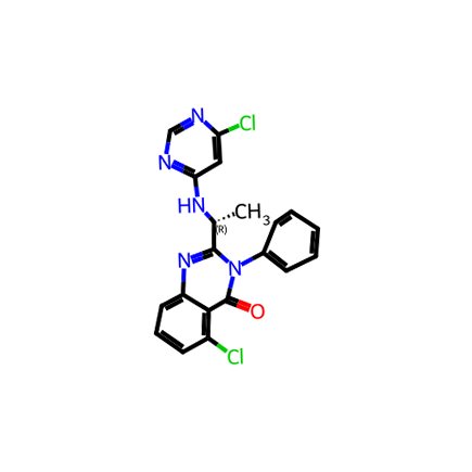 C[C@@H](Nc1cc(Cl)ncn1)c1nc2cccc(Cl)c2c(=O)n1-c1ccccc1